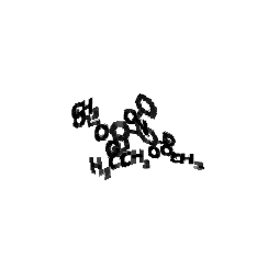 CCOC(=O)c1cn2c(cc1=O)-c1c(cc(OCCCOC)c3c1CC(C)(C)O3)OC2c1ccccc1